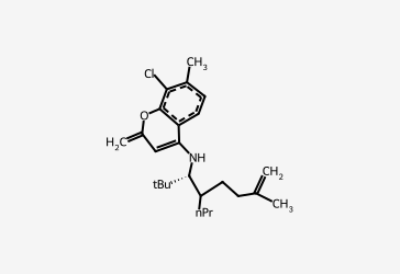 C=C(C)CCC(CCC)[C@@H](NC1=CC(=C)Oc2c1ccc(C)c2Cl)C(C)(C)C